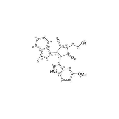 COc1ccc2[nH]cc(C3=C(c4cn(C)c5ccccc45)C(=O)N(CCC#N)C3=O)c2c1